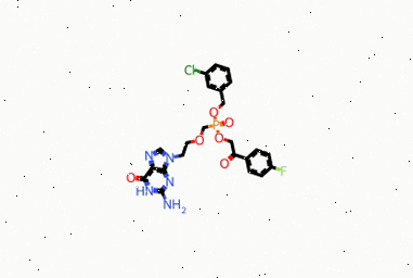 Nc1nc2c(ncn2CCOCP(=O)(OCC(=O)c2ccc(F)cc2)OCc2cccc(Cl)c2)c(=O)[nH]1